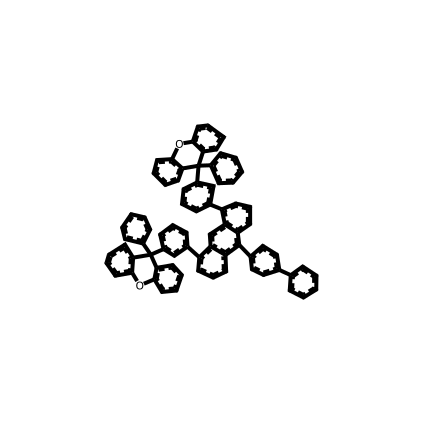 c1ccc(-c2ccc(-c3c4cccc(-c5cccc(C6(c7ccccc7)c7ccccc7Oc7ccccc76)c5)c4cc4c(-c5cccc(C6(c7ccccc7)c7ccccc7Oc7ccccc76)c5)cccc34)cc2)cc1